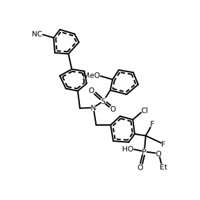 [CH2]COP(=O)(O)C(F)(F)c1ccc(CN(Cc2ccc(-c3cccc(C#N)c3)cc2)S(=O)(=O)c2ccccc2OC)cc1Cl